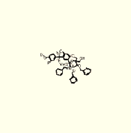 [2H]C([2H])(c1ccc(OCC)c(F)c1)c1cc([C@]2(OC)OC(CO)(CO)[C@@H](OCc3ccccc3)[C@H](OCc3ccccc3)[C@H]2OCc2ccccc2)ccc1Cl